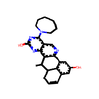 CC1c2c(ncc3c(N4CCCCCC4)nc(O)nc23)-c2cc(O)cc3c2C1CC=C3